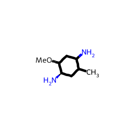 COC1CC(N)C(C)C[C@H]1N